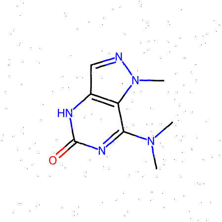 CN(C)c1nc(=O)[nH]c2cnn(C)c12